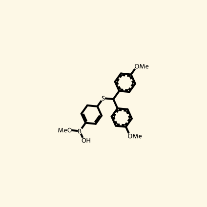 COB(O)C1=CCC(SC(c2ccc(OC)cc2)c2ccc(OC)cc2)C=C1